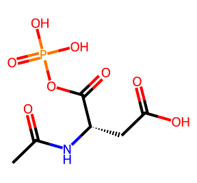 CC(=O)N[C@@H](CC(=O)O)C(=O)OP(=O)(O)O